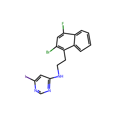 Fc1cc(Br)c(CCNc2cc(I)ncn2)c2ccccc12